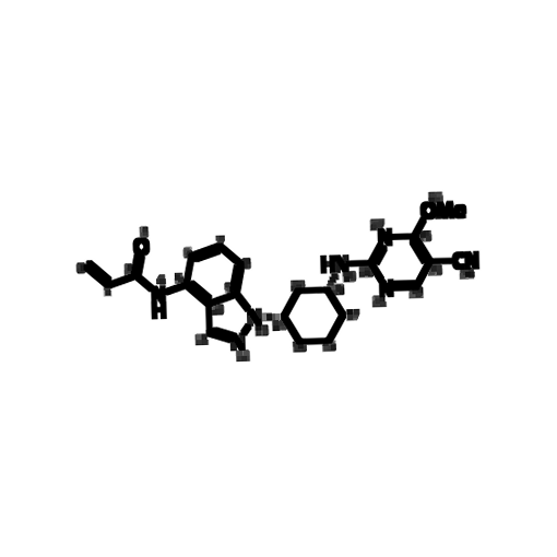 C=CC(=O)Nc1cccc2c1cnn2[C@H]1CCC[C@@H](Nc2ncc(C#N)c(OC)n2)C1